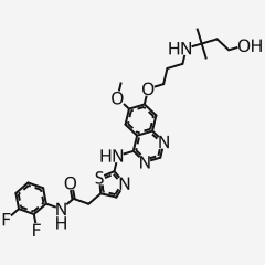 COc1cc2c(Nc3ncc(CC(=O)Nc4cccc(F)c4F)s3)ncnc2cc1OCCCNC(C)(C)CCO